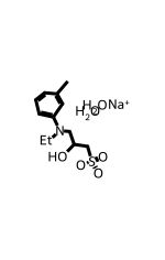 CCN(CC(O)CS(=O)(=O)[O-])c1cccc(C)c1.O.O.[Na+]